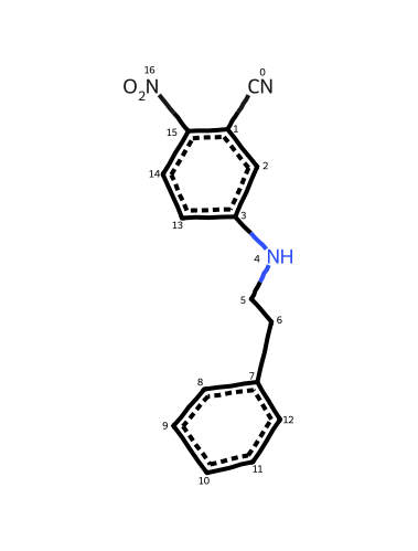 N#Cc1cc(NCCc2ccccc2)ccc1[N+](=O)[O-]